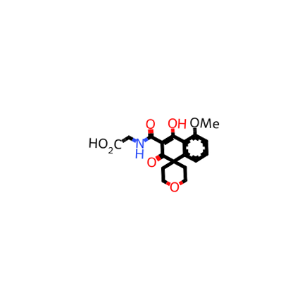 COc1cccc2c1C(O)=C(C(=O)NCC(=O)O)C(=O)C21CCOCC1